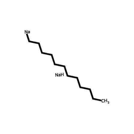 CCCCCCCCCCC[CH2][Na].[NaH]